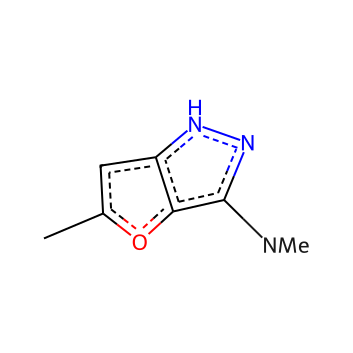 CNc1n[nH]c2cc(C)oc12